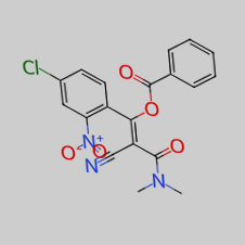 CN(C)C(=O)C(C#N)=C(OC(=O)c1ccccc1)c1ccc(Cl)cc1[N+](=O)[O-]